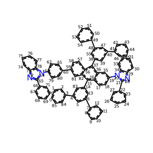 c1ccc(-c2cc(-c3ccccc3)cc(-c3c4ccc(-n5c(-c6ccccc6)nc6ccccc65)cc4c(-c4cc(-c5ccccc5)cc(-c5ccccc5)c4)c4ccc(-c5ccc(-n6c(-c7ccccc7)nc7ccccc76)cc5)cc34)c2)cc1